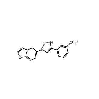 O=C(O)c1cccc(C2=CN(C3=CC=C4ON=CN4C3)ON2)c1